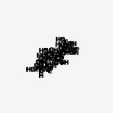 CC(=O)N[C@H]1[C@H]([C@H](O)[C@H](O)CO)O[C@@](OC[C@H]2O[C@@H](O[C@H]3[C@H](O)[C@@H](O)C(O)O[C@@H]3CO[C@]3(C(=O)O)C[C@H](O)[C@@H](NC(C)=O)[C@H]([C@H](O)[C@H](O)CO)O3)[C@H](O)[C@@H](O)[C@H]2O)(C(=O)O)C[C@@H]1O